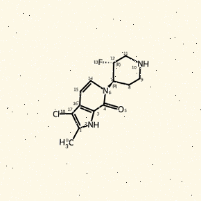 Cc1[nH]c2c(=O)n([C@@H]3CCNC[C@H]3F)ccc2c1Cl